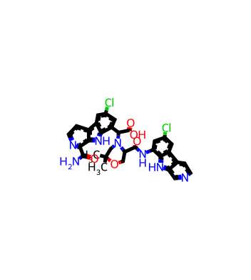 CC1(C)CN(C(C(=O)O)c2cc(Cl)cc3c2[nH]c2c(C(N)=O)nccc23)C(C(=O)Nc2cc(Cl)cc3c2[nH]c2cnccc23)CO1